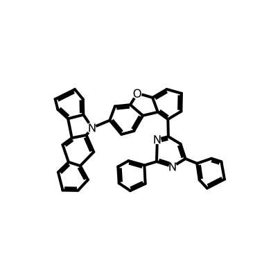 c1ccc(-c2cc(-c3cccc4oc5cc(-n6c7ccccc7c7cc8ccccc8cc76)ccc5c34)nc(-c3ccccc3)n2)cc1